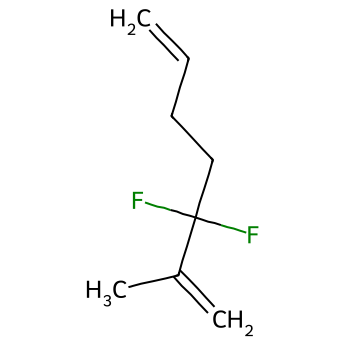 C=CCCC(F)(F)C(=C)C